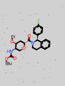 CCO[C@H]1C[C@H](C(=O)N2CCc3ccccc3[C@@H]2c2ccc(F)cc2)OC[C@H]1NC(=O)OC(C)(C)C